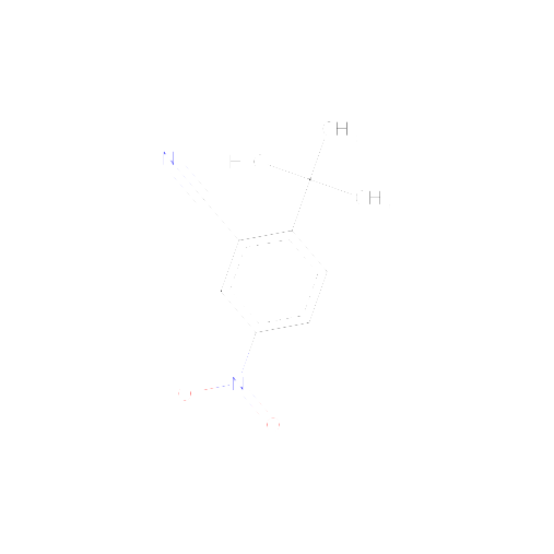 CC(C)(C)c1ccc([N+](=O)[O-])cc1C#N